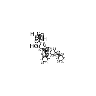 CS(=O)(=O)NC(=O)c1ccc(N(Cc2ccccc2)S(=O)(=O)c2ccc(Oc3ccccc3)cc2)cc1O